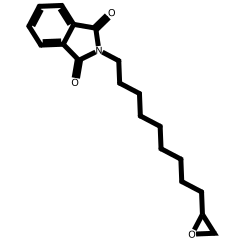 O=C1c2ccccc2C(=O)N1CCCCCCCCCC1CO1